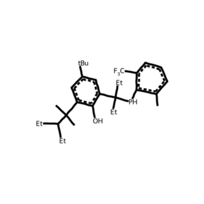 CCC(CC)C(C)(C)c1cc(C(C)(C)C)cc(C(CC)(CC)Pc2c(C)cccc2C(F)(F)F)c1O